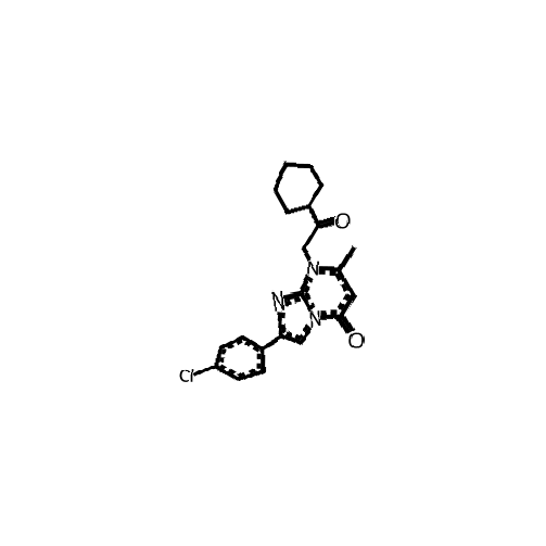 Cc1cc(=O)n2cc(-c3ccc(Cl)cc3)nc2n1CC(=O)C1CCCCC1